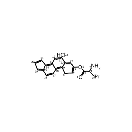 CC(C)[C@H](N)C(=O)OC1=CCc2c(ccc3c4c(ccc23)=CC=C4)=C1.Cl